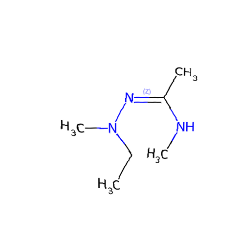 CCN(C)/N=C(/C)NC